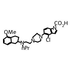 CCCN(CCN1CCN(c2ccc3c(ccn3C(=O)O)c2Cl)CC1)C1CCc2c(cccc2OC)C1